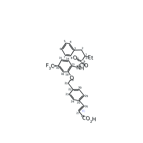 CCC(Cc1ccccc1)S(=O)(=O)Nc1ccc(C(F)(F)F)cc1OCc1ccc(/C=C/C(=O)O)cc1